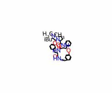 CCC(C)C(C(=O)N1CCCC1C(=O)NC1C(=O)NC(Cc2ccccc2)C(=O)N/C=C\c2ccc(cc2)OC1c1ccccc1)N(C)C